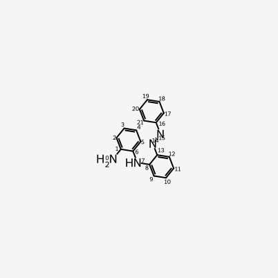 Nc1ccccc1Nc1ccccc1N=Nc1ccccc1